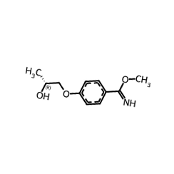 COC(=N)c1ccc(OC[C@@H](C)O)cc1